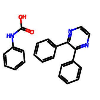 O=C(O)Nc1ccccc1.c1ccc(-c2nccnc2-c2ccccc2)cc1